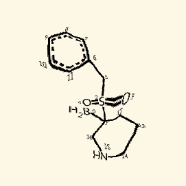 BC1(S(=O)(=O)Cc2ccccc2)CCCNC1